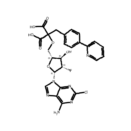 Nc1nc(Cl)nc2c1ncn2[C@@H]1O[C@H](COC(Cc2ccc(-c3ccccn3)cc2)(C(=O)O)C(=O)O)[C@@H](O)[C@@H]1F